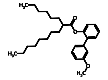 CCCCCCCCC(CCCCCC)C(=O)Oc1ccccc1-c1cccc(OC)c1